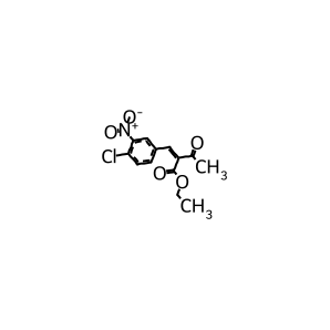 CCOC(=O)C(=Cc1ccc(Cl)c([N+](=O)[O-])c1)C(C)=O